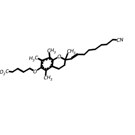 Cc1c(C)c2c(c(C)c1OCCCCC(=O)O)CCC(C)(/C=C/CCCCCCC#N)O2